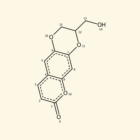 O=c1ccc2cc3c(cc2o1)OC(CO)CO3